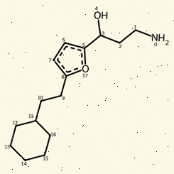 NCCC(O)c1ccc(CCC2CCCCC2)o1